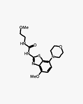 COCCNC(=O)Nc1nc2c(OC)ccc(N3CCOCC3)c2s1